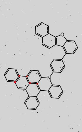 c1ccc(-c2ccc(N(c3ccc(-c4cccc5oc6c7ccccc7ccc6c45)cc3)c3ccccc3-c3cc4ccccc4c4ccccc34)cc2)cc1